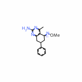 CO/N=C1\CC(c2ccccc2)Cc2nc(N)nc(C)c21